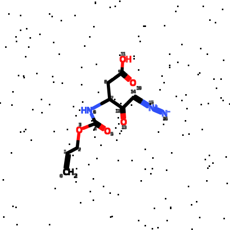 C=CCOC(=O)NC(CC(=O)O)C(=O)C=[N+]=[N-]